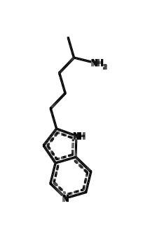 CC(N)CCCc1cc2cnccc2[nH]1